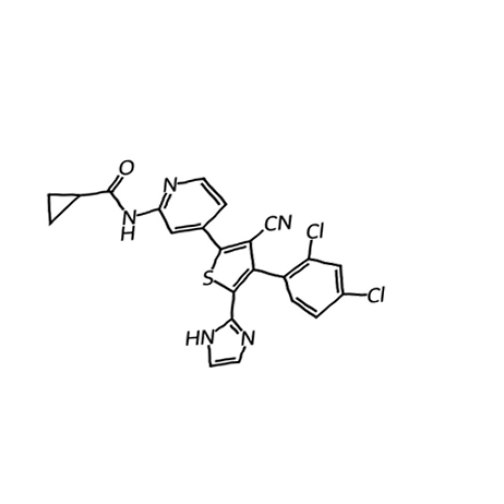 N#Cc1c(-c2ccnc(NC(=O)C3CC3)c2)sc(-c2ncc[nH]2)c1-c1ccc(Cl)cc1Cl